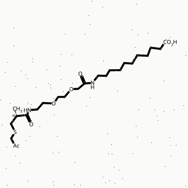 CC(=O)CSC[C@H](C)C(=O)NCCOCCOCC(=O)NCCCCCCCCCCC(=O)O